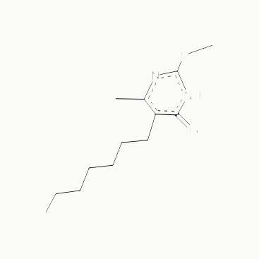 CCCCCCCc1c(C)nc(SC)[nH]c1=O